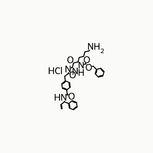 C=CC(NC(=O)c1ccc(Cc2nc(C(=O)C(CCCCN)NC(=O)OCc3ccccc3)no2)cc1)c1ccccc1.Cl